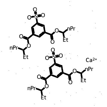 CCCC(CC)OC(=O)c1cc(C(=O)OC(CC)CCC)cc(S(=O)(=O)[O-])c1.CCCC(CC)OC(=O)c1cc(C(=O)OC(CC)CCC)cc(S(=O)(=O)[O-])c1.[Ca+2]